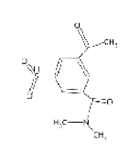 CC(=O)c1cc(C(=O)N(C)C)cc([SH](=O)=O)c1